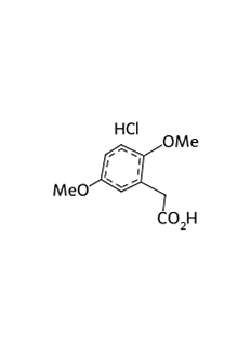 COc1ccc(OC)c(CC(=O)O)c1.Cl